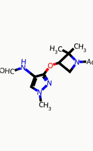 CC(=O)N1CC(Oc2nn(C)cc2NC=O)C1(C)C